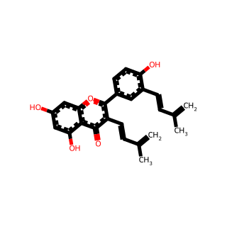 C=C(C)C=Cc1cc(-c2oc3cc(O)cc(O)c3c(=O)c2C=CC(=C)C)ccc1O